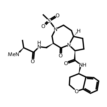 CN[C@@H](C)C(=O)NC[C@H]1CN(S(C)(=O)=O)CC[C@H]2CC[C@@H](C(=O)N[C@@H]3CCOc4ccccc43)N2C1=O